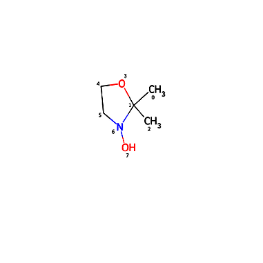 CC1(C)OCCN1O